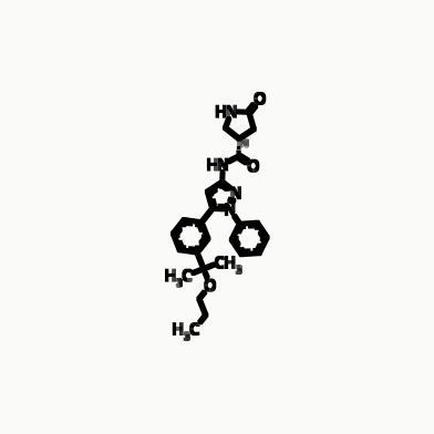 CCCOC(C)(C)c1cccc(-c2cc(NC(=O)[C@@H]3CNC(=O)C3)nn2-c2ccccc2)c1